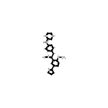 COc1ccc(-c2cccs2)cc1C(=C=O)Cc1ccc(Nc2cnccn2)cc1